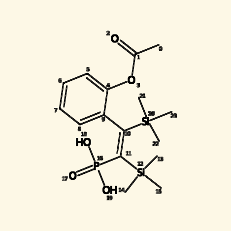 CC(=O)Oc1ccccc1C(=C([Si](C)(C)C)P(=O)(O)O)[Si](C)(C)C